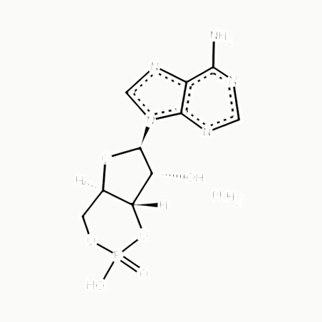 Nc1ncnc2c1ncn2[C@@H]1O[C@@H]2COP(=O)(O)O[C@H]2[C@H]1O.[PbH2]